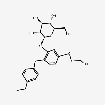 CCc1ccc(Cc2ccc(OCCO)cc2O[C@@H]2O[C@H](CO)[C@@H](O)[C@H](O)[C@H]2O)cc1